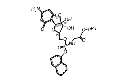 CCCCOC(=O)CNP(=O)(OC[C@H]1O[C@@H](n2ccc(N)nc2=O)[C@](C)(O)[C@@H]1O)Oc1cccc2ccccc12